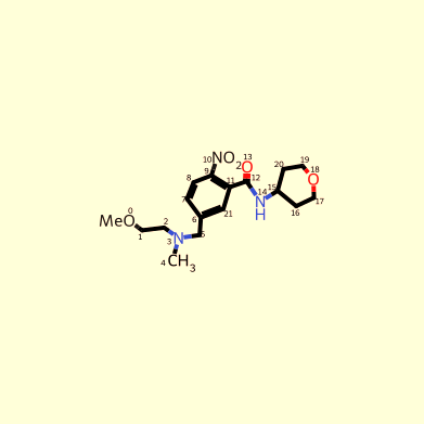 COCCN(C)Cc1ccc([N+](=O)[O-])c(C(=O)NC2CCOCC2)c1